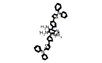 C/C=N\c1c(N)c(-c2ccc(-c3ccc(N(c4ccccc4)c4ccccc4)s3)cc2)c(N)c(N)c1-c1ccc(-c2ccc(N(c3ccccc3)c3ccccc3)s2)cc1